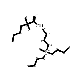 CCCCC(C)(C)C(=O)O.CCCC[PH](C)(CCCC)CCCC